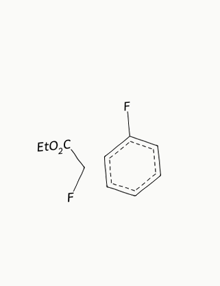 CCOC(=O)CF.Fc1ccccc1